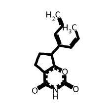 C=C/C=C(\C=C/C)C1CCc2c1oc(=O)[nH]c2=O